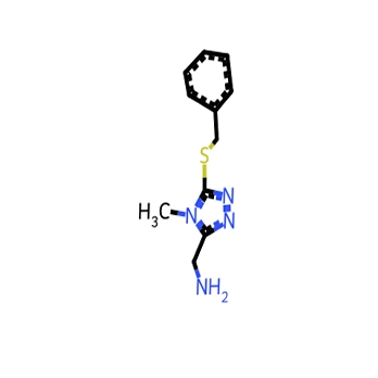 Cn1c(CN)nnc1SCc1ccccc1